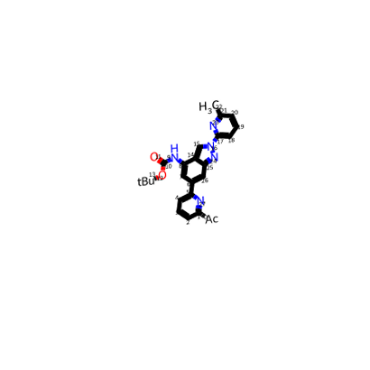 CC(=O)c1cccc(-c2cc(NC(=O)OC(C)(C)C)c3cn(-c4cccc(C)n4)nc3c2)n1